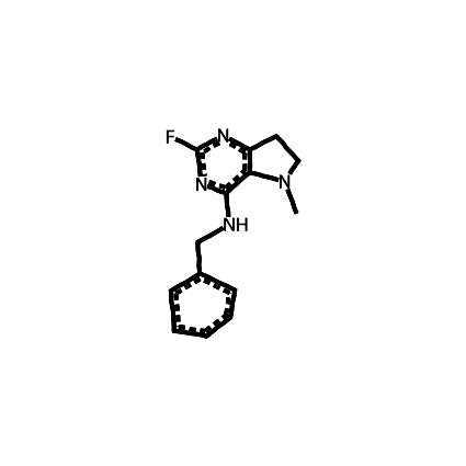 CN1CCc2nc(F)nc(NCc3ccccc3)c21